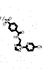 N#Cc1ccc(-n2ncnc2CNC(=O)c2ccc(S(=O)(=O)C(F)(F)F)cc2)nc1